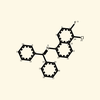 Fc1ccc2c(N=C(c3ccccc3)c3ccccc3)cccc2c1Cl